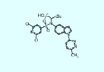 Cc1ccc(-n2ccc3cc(N(C(C(=O)O)C(C)(C)C)S(=O)(=O)c4cc(Cl)nc(Cl)c4)ccc32)nn1